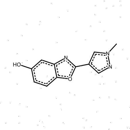 Cn1cc(-c2nc3cc(O)ccc3o2)cn1